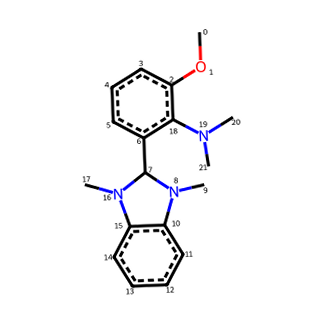 COc1cccc(C2N(C)c3ccccc3N2C)c1N(C)C